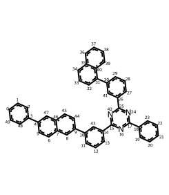 c1ccc(-c2ccc3cc(-c4cccc(-c5nc(-c6ccccc6)nc(-c6cccc(-c7cccc8ccccc78)c6)n5)c4)ccc3c2)cc1